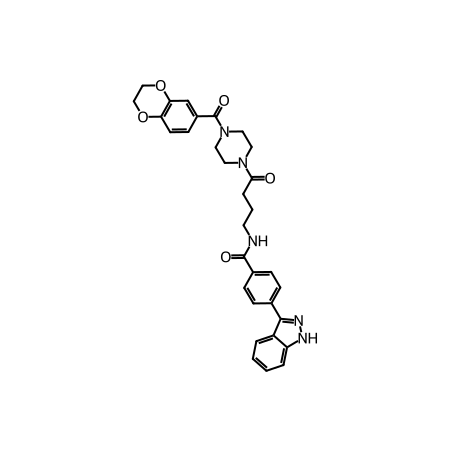 O=C(NCCCC(=O)N1CCN(C(=O)c2ccc3c(c2)OCCO3)CC1)c1ccc(-c2n[nH]c3ccccc23)cc1